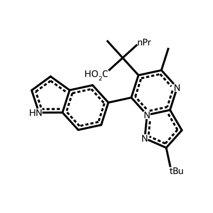 CCCC(C)(C(=O)O)c1c(C)nc2cc(C(C)(C)C)nn2c1-c1ccc2[nH]ccc2c1